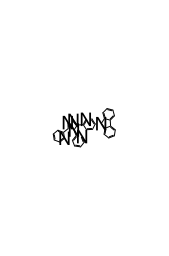 c1ccc(-c2nnc(-c3ccc(-n4c5ccccc5c5ccccc54)cn3)n2-c2ccccn2)nc1